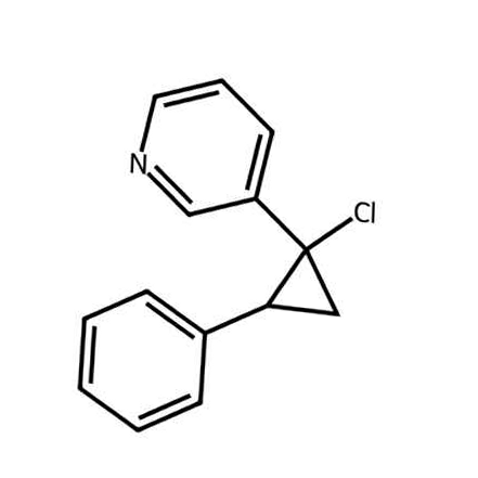 ClC1(c2cccnc2)CC1c1ccccc1